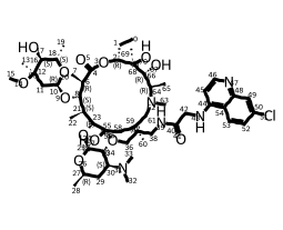 CC[C@H]1OC(=O)[C@H](C)[C@@H](O[C@H]2C[C@@](C)(OC)[C@@H](O)[C@H](C)O2)[C@H](C)[C@@H](O[C@@H]2O[C@H](C)C[C@H](N(C)C)[C@H]2OCCCNC(=O)CNc2ccnc3cc(Cl)ccc23)[C@](C)(O)C[C@@H](C)CN(C)[C@H](C)[C@@H](O)[C@]1(C)O